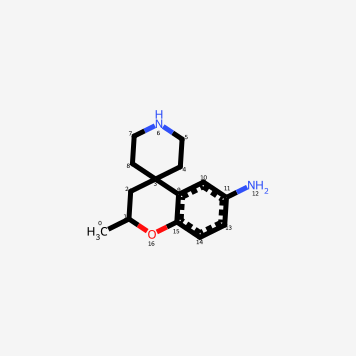 CC1CC2(CCNCC2)c2cc(N)ccc2O1